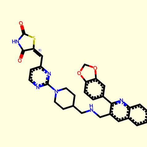 O=C1NC(=O)/C(=C\c2ccnc(N3CCC(CNCc4cc5ccccc5nc4-c4ccc5c(c4)OCO5)CC3)n2)S1